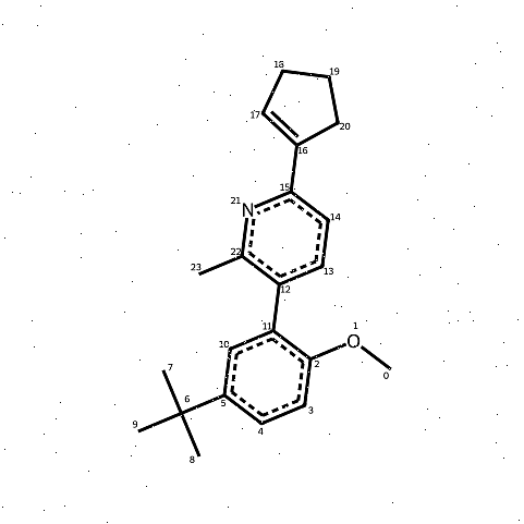 COc1ccc(C(C)(C)C)cc1-c1ccc(C2=CCCC2)nc1C